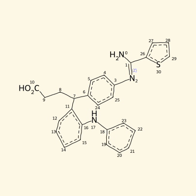 N/C(=N\c1ccc(C(CCC(=O)O)c2ccccc2Nc2ccccc2)cc1)c1cccs1